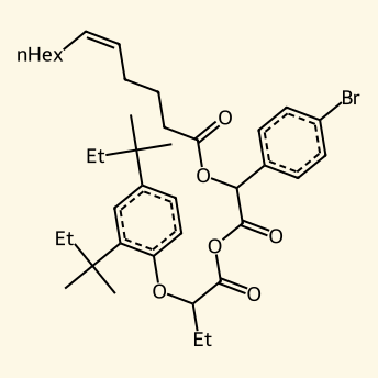 CCCCCC/C=C\CCCC(=O)OC(C(=O)OC(=O)C(CC)Oc1ccc(C(C)(C)CC)cc1C(C)(C)CC)c1ccc(Br)cc1